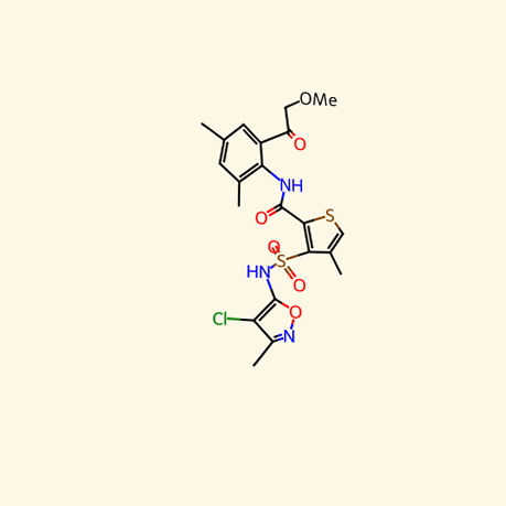 COCC(=O)c1cc(C)cc(C)c1NC(=O)c1scc(C)c1S(=O)(=O)Nc1onc(C)c1Cl